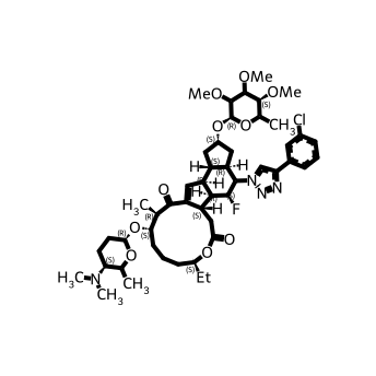 CC[C@H]1CCC[C@H](O[C@H]2CC[C@H](N(C)C)C(C)O2)[C@@H](C)C(=O)C2=C[C@H]3[C@@H]4C[C@H](O[C@@H]5OC(C)[C@H](OC)C(OC)C5OC)C[C@H]4C(n4cc(-c5cccc(Cl)c5)nn4)[C@@H](F)[C@H]3[C@@H]2CC(=O)O1